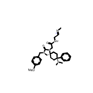 C/N=C/CNC(=O)CN1C(=O)N(Cc2ccc(OC)cc2)C[C@]12CC[C@](c1ccccc1)(N(C)C)CC2